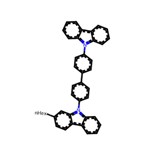 CCCCCCc1ccc2c3ccccc3n(-c3ccc(-c4ccc(-n5c6ccccc6c6ccccc65)cc4)cc3)c2c1